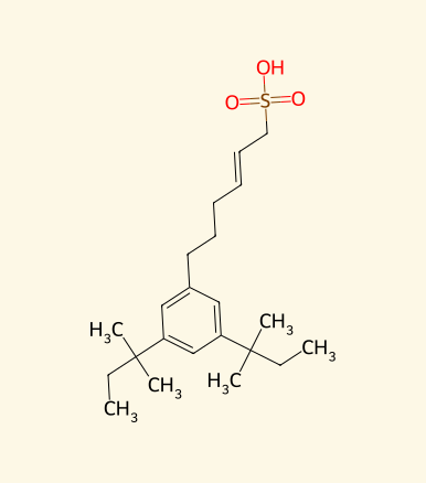 CCC(C)(C)c1cc(CCCC=CCS(=O)(=O)O)cc(C(C)(C)CC)c1